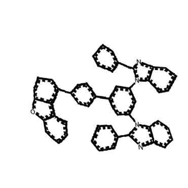 c1ccc(-c2nc3ccccc3n2-c2cc(-c3ccc(-c4cccc5oc6ccccc6c45)cc3)cc(-n3c(-c4ccccc4)nc4ccccc43)c2)cc1